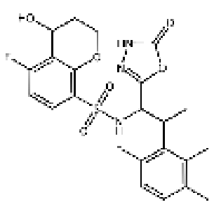 Cc1ccc(F)c(C(C)C(NS(=O)(=O)c2ccc(F)c3c2OCCC3O)c2n[nH]c(=O)o2)c1C